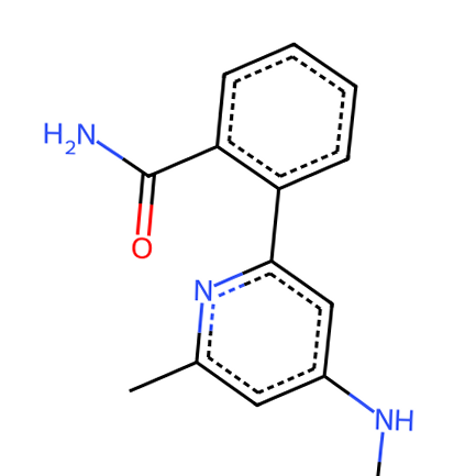 CNc1cc(C)nc(-c2ccccc2C(N)=O)c1